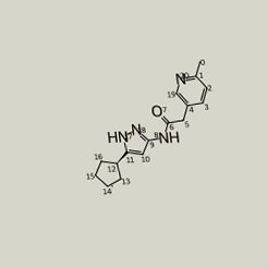 Cc1ccc(CC(=O)Nc2cc([C@H]3C[CH]CC3)[nH]n2)cn1